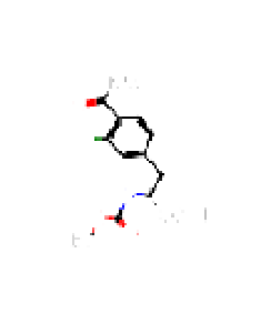 CNC(=O)c1ccc(C[C@H](NC(=O)OC(C)(C)C)C(=O)O)cc1F